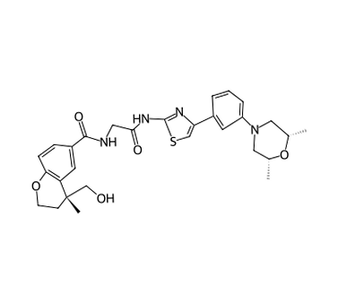 C[C@@H]1CN(c2cccc(-c3csc(NC(=O)CNC(=O)c4ccc5c(c4)[C@](C)(CO)CCO5)n3)c2)C[C@H](C)O1